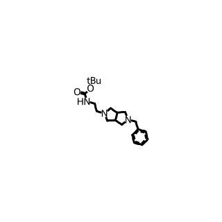 CC(C)(C)OC(=O)NCCN1CC2CN(Cc3ccccc3)CC2C1